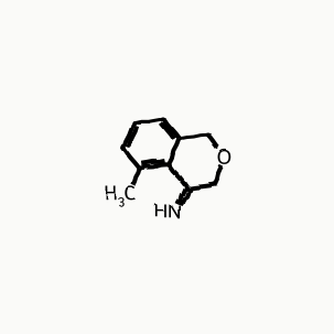 Cc1cccc2c1C(=N)COC2